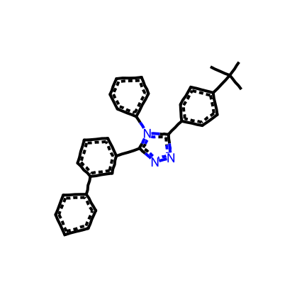 CC(C)(C)c1ccc(-c2nnc(-c3cccc(-c4ccccc4)c3)n2-c2ccccc2)cc1